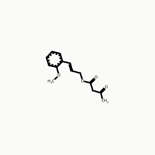 COc1ccccc1/C=C/COC(=O)CC(C)=O